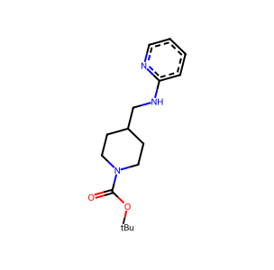 CC(C)(C)OC(=O)N1CCC(CNc2ccccn2)CC1